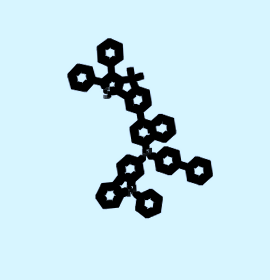 CC1(C)c2ccc(-c3ccc(N(c4ccc(-c5ccccc5)cc4)c4ccc5c6ccccc6n(-c6ccccc6)c5c4)c4ccccc34)cc2-c2sc(-c3ccccc3)c(-c3ccccc3)c21